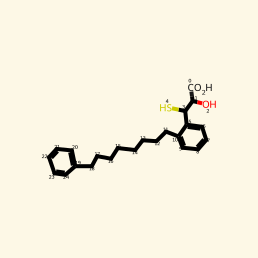 O=C(O)C(O)C(S)c1ccccc1CCCCCCCCc1ccccc1